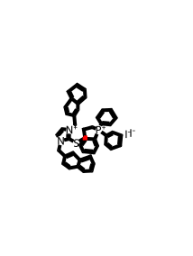 [I-].[I-].c1ccc([P+](CCCSc2n(Cc3ccc4ccccc4c3)cc[n+]2Cc2ccc3ccccc3c2)(c2ccccc2)c2ccccc2)cc1